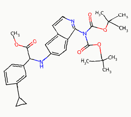 COC(=O)C(Nc1ccc2c(N(C(=O)OC(C)(C)C)C(=O)OC(C)(C)C)nccc2c1)c1cccc(C2CC2)c1